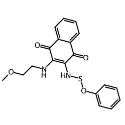 COCCNC1=C(NSOc2ccccc2)C(=O)c2ccccc2C1=O